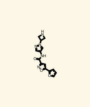 O=C(Nc1cnn(C2CNC2)c1)c1cc(-c2ccco2)on1